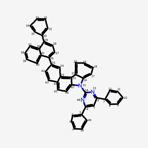 c1ccc(-c2cc(-c3ccccc3)nc(-n3c4ccccc4c4c5cc(-c6ccc(-c7ccccc7)c7ccccc67)ccc5ccc43)n2)cc1